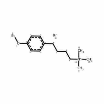 CCOc1ccc(CCCC[N+](C)(C)C)cc1.[Br-]